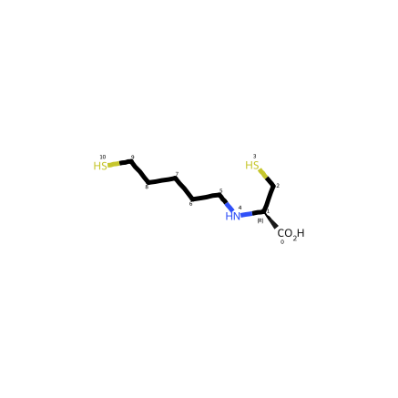 O=C(O)[C@H](CS)NCCCCCS